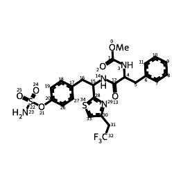 COC(=O)NC(Cc1ccccc1)C(=O)NC(Cc1ccc(OS(N)(=O)=O)cc1)c1nc(CC(F)(F)F)cs1